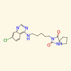 O=C1NC2(CCCC2)C(=O)N1CCCCCNc1ncnc2cc(Cl)ccc12